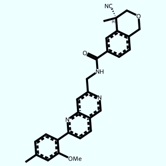 COc1cc(C)ccc1-c1ccc2cnc(CNC(=O)c3ccc4c(c3)[C@](C)(C#N)COC4)cc2n1